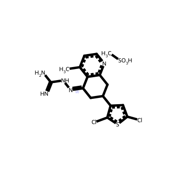 CS(=O)(=O)O.Cc1ccnc2c1/C(=N\NC(=N)N)CC(c1cc(Cl)sc1Cl)C2